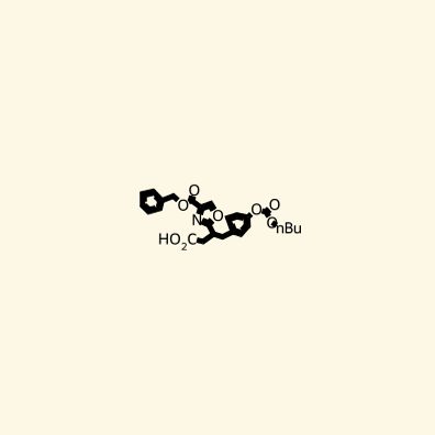 CCCCOC(=O)Oc1ccc(CC(CC(=O)O)c2nc(C(=O)OCc3ccccc3)co2)cc1